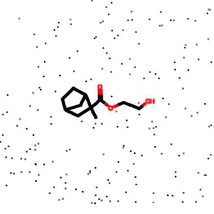 CC1(C(=O)OCCO)CC2CCC1C2